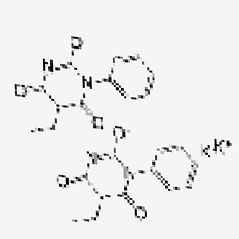 CCC1C(=O)N=C([O-])N(c2ccccc2)C1=O.CCC1C(=O)N=C([O-])N(c2ccccc2)C1=O.[K+].[K+]